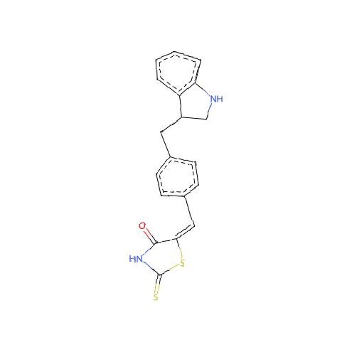 O=C1NC(=S)SC1=Cc1ccc(CC2CNc3ccccc32)cc1